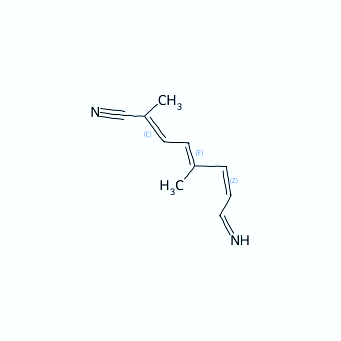 C\C(C#N)=C/C=C(C)/C=C\C=N